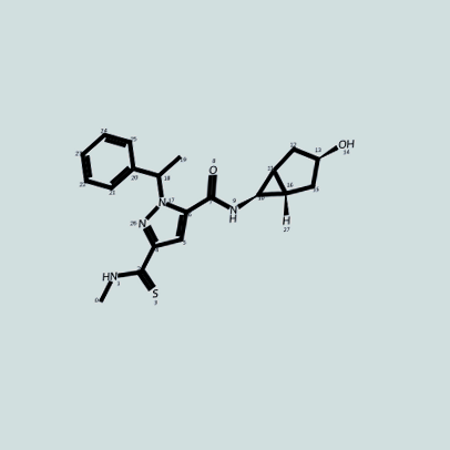 CNC(=S)c1cc(C(=O)N[C@H]2C3C[C@@H](O)C[C@@H]32)n(C(C)c2ccccc2)n1